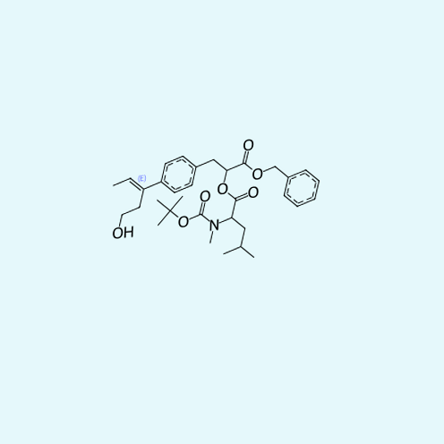 C/C=C(\CCO)c1ccc(CC(OC(=O)C(CC(C)C)N(C)C(=O)OC(C)(C)C)C(=O)OCc2ccccc2)cc1